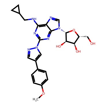 COc1ccc(-c2cnn(-c3nc(NCC4CC4)c4ncn([C@@H]5O[C@H](CO)[C@@H](O)[C@H]5O)c4n3)c2)cc1